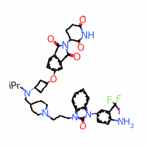 CC(C)N(CC1CCN(CCCn2c(=O)n(-c3ccc(N)c(C(F)(F)I)c3)c3ccccc32)CC1)[C@H]1C[C@H](Oc2ccc3c(c2)C(=O)N(C2CCC(=O)NC2=O)C3=O)C1